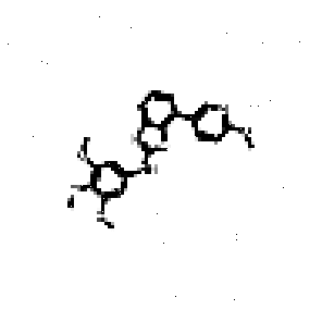 COc1ccc(-c2cccc3nc(Nc4cc(OC)c(OC)c(OC)c4)oc23)cn1